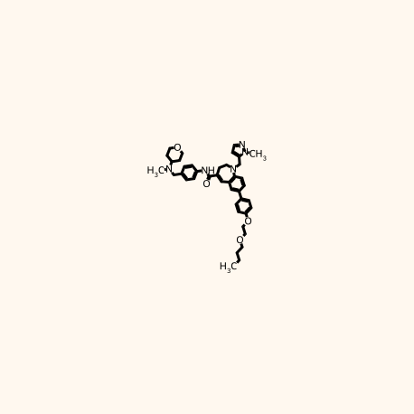 CCCCOCCOc1ccc(-c2ccc3c(c2)C=C(C(=O)Nc2ccc(CN(C)C4CCOCC4)cc2)CCN3Cc2ccnn2C)cc1